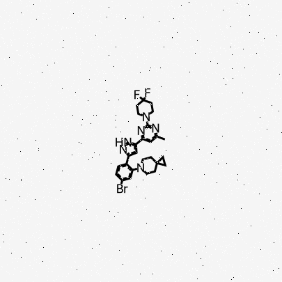 Cc1cc(-c2cc(-c3ccc(Br)cc3N3CCC4(CC3)CC4)n[nH]2)nc(N2CCC(F)(F)CC2)n1